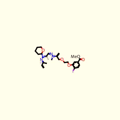 C=C/C(C)=N/N(C1CCCCO1)[C@@H](C)/C=N\N(C)C(=C)COCCOc1cc(C(=O)OC)ccc1I